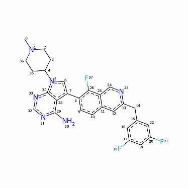 CN1CCC(n2cc(-c3ccc4cc(Cc5cc(F)cc(F)c5)ncc4c3F)c3c(N)ncnc32)CC1